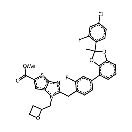 COC(=O)c1cc2c(nc(Cc3ccc(-c4cccc5c4OC(C)(c4ccc(Cl)cc4F)O5)cc3F)n2CC2CCO2)s1